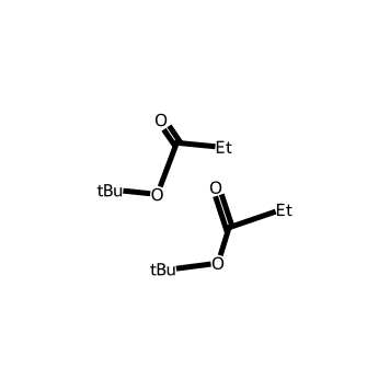 CCC(=O)OC(C)(C)C.CCC(=O)OC(C)(C)C